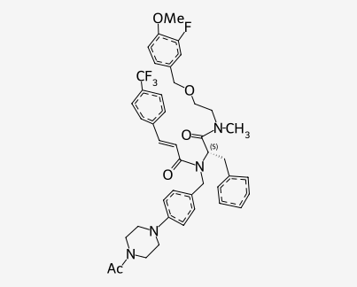 COc1ccc(COCCN(C)C(=O)[C@H](Cc2ccccc2)N(Cc2ccc(N3CCN(C(C)=O)CC3)cc2)C(=O)C=Cc2ccc(C(F)(F)F)cc2)cc1F